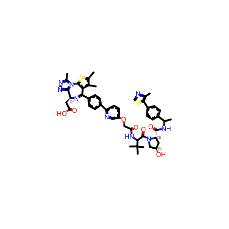 Cc1ncsc1-c1ccc(C(C)NC(=O)[C@@H]2C[C@@H](O)CN2C(=O)C(NC(=O)COc2ccc(-c3ccc(C4=N[C@@H](CC(=O)O)c5nnc(C)n5-c5sc(C)c(C)c54)cc3)nc2)C(C)(C)C)cc1